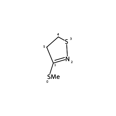 CSC1=NSCC1